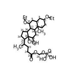 CCOC1CCC2(C)C(C1)CC(OCC)C1C2CC(O)C2(C)C(C(C)CCC(=O)OCOP(=O)(O)O)CCC12